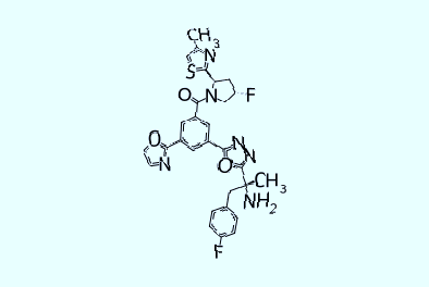 Cc1csc([C@H]2C[C@H](F)CN2C(=O)c2cc(-c3ncco3)cc(-c3nnc([C@](C)(N)Cc4ccc(F)cc4)o3)c2)n1